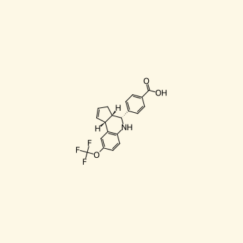 O=C(O)c1ccc([C@@H]2Nc3ccc(OC(F)(F)F)cc3[C@@H]3C=CC[C@@H]32)cc1